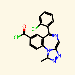 CC1N=NC2=CN=C(c3ccccc3Cl)c3cc(C(=O)Cl)ccc3N21